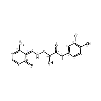 N#Cc1ccc(NC(=O)[C@@H](O)CN/C=C2\C(=N)C=CC=C2C(F)(F)F)cc1C(F)(F)F